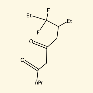 CCCC(=O)CC(=O)CC(CC)C(F)(F)CC